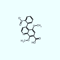 COc1c(C(=O)O)cc(OC)c2c(-c3ccccc3[N+](=O)[O-])ccnc12